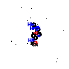 Cc1ccc2c(NC(=O)C(C)(C)C#N)cccc2c1Oc1ncccc1-c1ccnc(NC2CCCNC2)n1